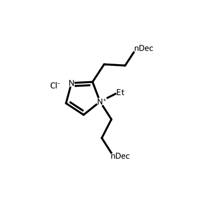 CCCCCCCCCCCCC1=NC=C[N+]1(CC)CCCCCCCCCCCC.[Cl-]